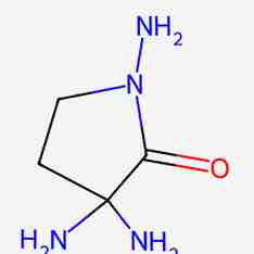 NN1CCC(N)(N)C1=O